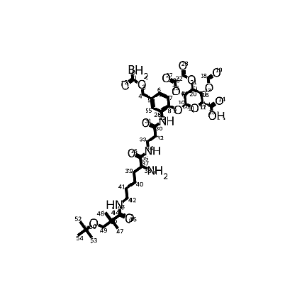 BC(=O)OCc1ccc(O[C@@H]2O[C@H](C(=O)O)[C@@H](OC=O)[C@H](OC=O)[C@H]2OC=O)c(NC(=O)CCNC(=O)C(N)CCCCNC(=O)C(C)(C)COC(C)(C)C)c1